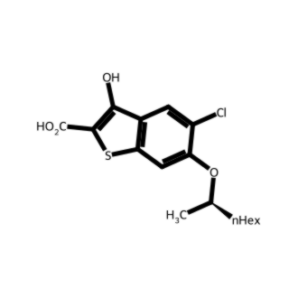 CCCCCC[C@@H](C)Oc1cc2sc(C(=O)O)c(O)c2cc1Cl